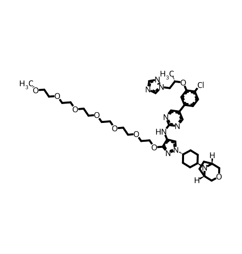 COCCOCCOCCOCCOCCOCCOc1nn([C@H]2CC[C@H](N3[C@@H]4CC[C@H]3COC4)CC2)cc1Nc1ncc(-c2ccc(Cl)c(O[C@@H](C)Cn3cncn3)c2)cn1